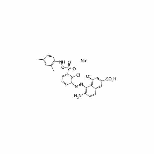 Cc1ccc(NOS(=O)(=O)c2cccc(N=Nc3c(N)ccc4cc(S(=O)(=O)O)cc([O-])c34)c2Cl)c(C)c1.[Na+]